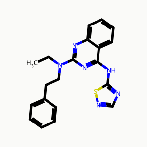 CCN(CCc1ccccc1)c1nc(Nc2ncns2)c2ccccc2n1